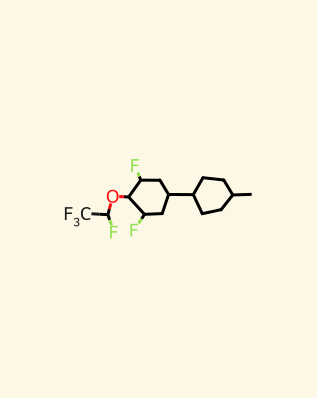 CC1CCC(C2CC(F)C(OC(F)C(F)(F)F)C(F)C2)CC1